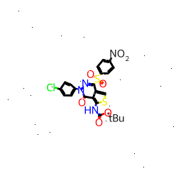 CC(C)(C)OC(=O)Nc1scc2c(S(=O)(=O)c3ccc([N+](=O)[O-])cc3)nn(-c3ccc(Cl)cc3)c(=O)c12